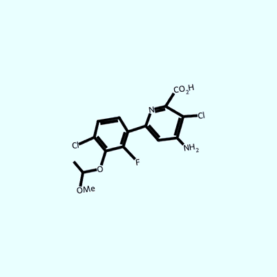 COC(C)Oc1c(Cl)ccc(-c2cc(N)c(Cl)c(C(=O)O)n2)c1F